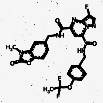 Cn1c(=O)oc2ccc(CNC(=O)c3cc(C(=O)NCc4ccc(OC(C)(F)F)cc4)n4ncc(F)c4n3)cc21